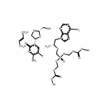 CC(C)OC(=O)OCOP(=O)(CO[C@H](C)Cn1cnc2c(N)ncnc21)OCOC(=O)OC(C)C.Nc1nc(=O)n([C@@H]2CS[C@H](CO)O2)cc1F.O=C(O)/C=C/C(=O)O